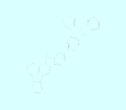 C[Si]1(C)c2cc(-c3ccc(-c4nc5ccccc5n4-c4ccccc4)cc3)ccc2-c2cc3c4c(cccc4c21)-c1ccccc1-3